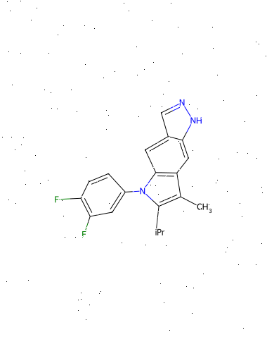 Cc1c(C(C)C)n(-c2ccc(F)c(F)c2)c2cc3cn[nH]c3cc12